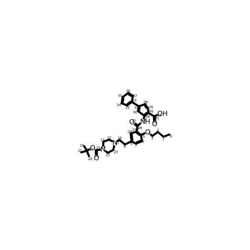 CCCCOc1ccc(CCN2CCN(C(=O)OC(C)(C)C)CC2)cc1C(=O)Nc1cc(-c2ccccc2)ccc1C(=O)O